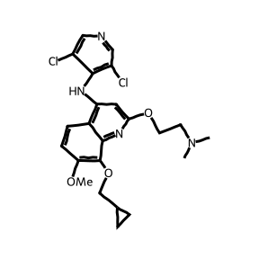 COc1ccc2c(Nc3c(Cl)cncc3Cl)cc(OCCN(C)C)nc2c1OCC1CC1